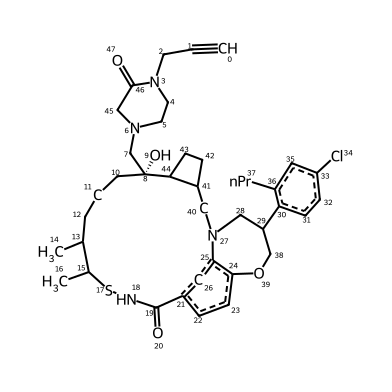 C#CCN1CCN(C[C@]2(O)CCCC(C)C(C)SNC(=O)c3ccc4c(c3)N(CC(c3ccc(Cl)cc3CCC)CO4)CC3CCC32)CC1=O